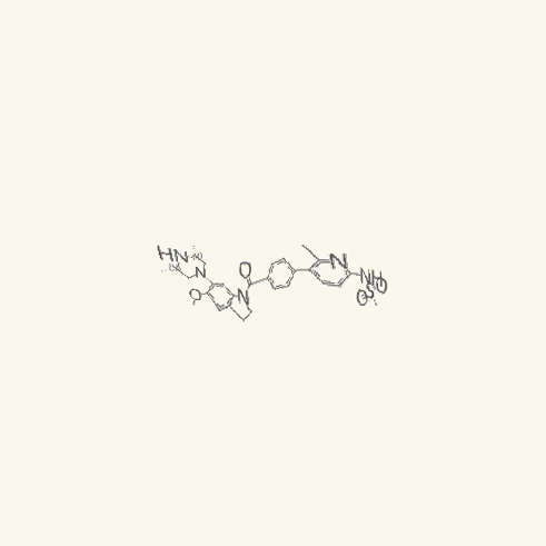 COc1cc2c(cc1N1C[C@@H](C)N[C@@H](C)C1)N(C(=O)c1ccc(-c3ccc(NS(C)(=O)=O)nc3C)cc1)CC2